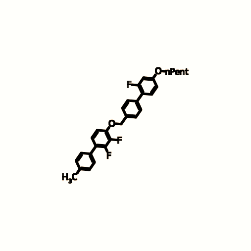 CCCCCOc1ccc(-c2ccc(COc3ccc(-c4ccc(C)cc4)c(F)c3F)cc2)c(F)c1